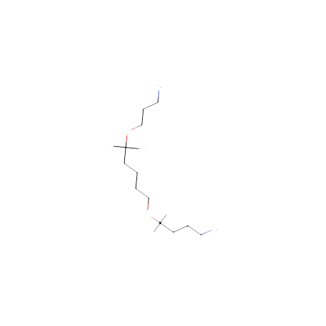 CC(C)(CCCN)OCCCCC(C)(C)OCCCN